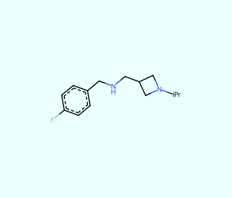 CC(C)N1CC(CNCc2ccc(F)cc2)C1